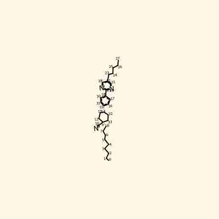 CCCCCCCCC[C@]1(C#N)CC[C@H](c2ccc(-c3ncc(CCCCC)cn3)cc2)CC1